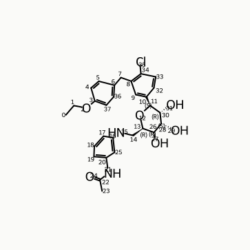 CCOc1ccc(Cc2cc([C@@H]3O[C@H](CNc4cccc(NC(C)=O)c4)[C@H](O)[C@@H](O)[C@H]3O)ccc2Cl)cc1